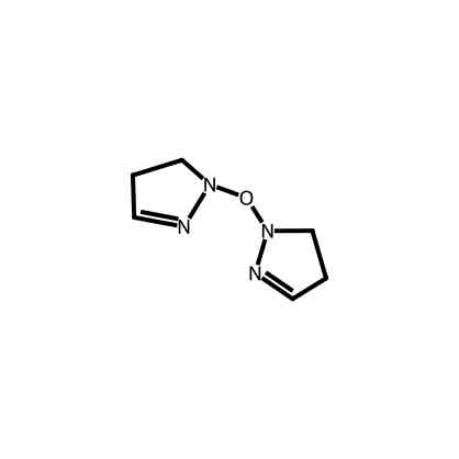 C1=NN(ON2CCC=N2)CC1